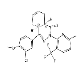 COc1ccc(C2=NN(c3nc(C)ccc3C(F)(F)F)C(=O)[C@@H]3CC=CC[C@H]23)cc1Cl